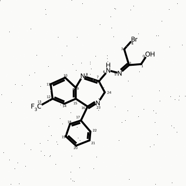 OCC(CBr)=NNC1=Nc2ccc(C(F)(F)F)cc2C(c2ccccc2)=NC1